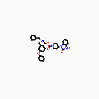 O=C(OCCN(Cc1ccccc1)Cc1cccc(Oc2ccccc2)c1)N1CCC(n2c(=O)[nH]c3ccccc32)CC1